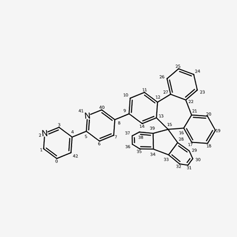 c1cncc(-c2ccc(-c3ccc4c(c3)C3(c5ccccc5-c5ccccc5-4)c4ccccc4-c4ccccc43)cn2)c1